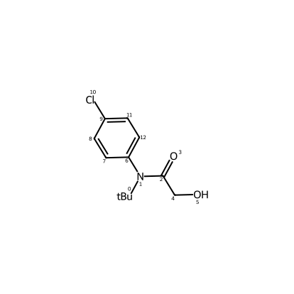 CC(C)(C)N(C(=O)CO)c1ccc(Cl)cc1